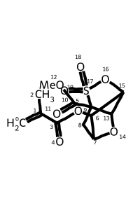 C=C(C)C(=O)OC1C2CC3(C(=O)OC)C(O2)C1OS3(=O)=O